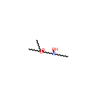 CCCCCCCCCCN(CCO)CCCCCCCC(=O)OC(CCCCCCCC)CCCCCCCC